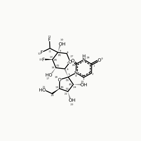 O=c1ccn([C@]2(C3OC[C@](O)(C(F)F)[C@H](F)[C@H]3O)O[C@H](CO)[C@@H](O)[C@H]2O)c(=O)[nH]1